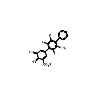 Cc1c(F)c(C2=CC(=N)C(=N)C(C(=O)O)=C2)c(F)c(F)c1-c1ccccc1